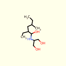 CCC(C)CC(CC)C(O)NC(CO)CO